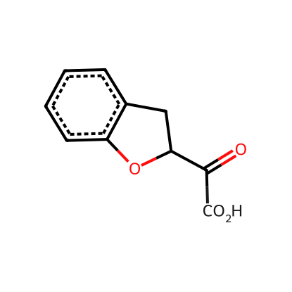 O=C(O)C(=O)C1Cc2ccccc2O1